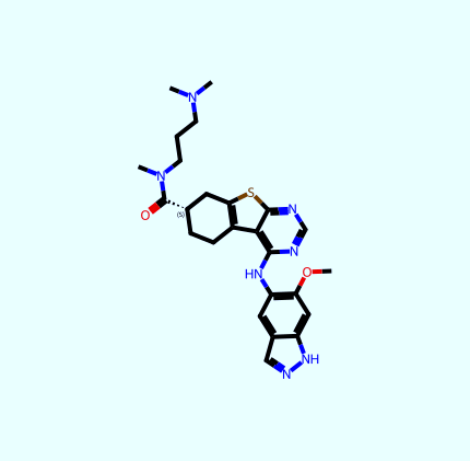 COc1cc2[nH]ncc2cc1Nc1ncnc2sc3c(c12)CC[C@H](C(=O)N(C)CCCN(C)C)C3